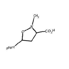 CCCCCC1CC(C(=O)O)N(C)O1